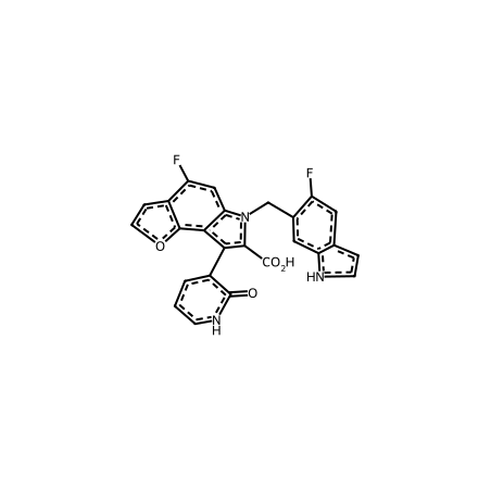 O=C(O)c1c(-c2ccc[nH]c2=O)c2c3occc3c(F)cc2n1Cc1cc2[nH]ccc2cc1F